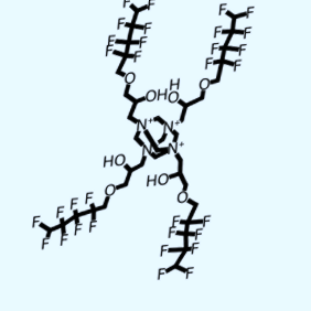 OC(COCC(F)(F)C(F)(F)C(F)(F)C(F)F)C[N+]12C[N+]3(CC(O)COCC(F)(F)C(F)(F)C(F)(F)C(F)F)C[N+](CC(O)COCC(F)(F)C(F)(F)C(F)(F)C(F)F)(C1)C[N+](CC(O)COCC(F)(F)C(F)(F)C(F)(F)C(F)F)(C2)C3